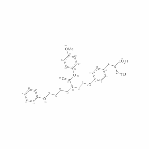 CCOC(Cc1ccc(OCCN(CCCCOc2ccccc2)C(=O)Oc2ccc(OC)cc2)cc1)C(=O)O